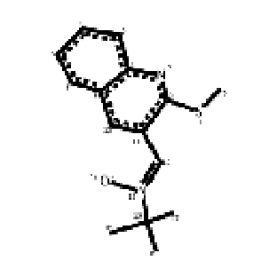 CSc1nc2ccccc2cc1C=[N+]([O-])C(C)(C)C